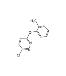 Cc1ccccc1Oc1[c]cc(Cl)nn1